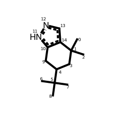 CC1(C)CC(C(C)(C)C)Cc2[nH]ncc21